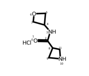 Cl.O=C(NC1COC1)C1CNC1